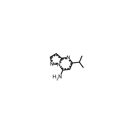 CC(C)c1cc(N)n2nccc2n1